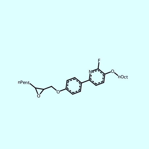 CCCCCCCCOc1ccc(-c2ccc(OCC3OC3CCCCC)cc2)nc1F